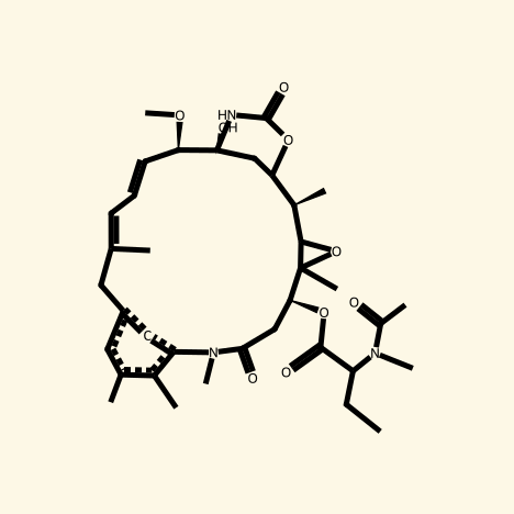 CCC(C(=O)O[C@H]1CC(=O)N(C)c2cc(cc(C)c2C)C/C(C)=C/C=C/[C@@H](OC)[C@@]2(O)CC(OC(=O)N2)[C@@H](C)C2OC21C)N(C)C(C)=O